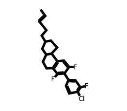 C/C=C/CCC1CCC2c3cc(F)c(-c4ccc(Cl)c(F)c4)c(F)c3CCC2C1